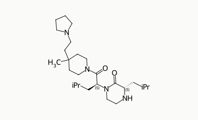 CC(C)C[C@@H]1NCCN([C@@H](CC(C)C)C(=O)N2CCC(C)(CCN3CCCC3)CC2)C1=O